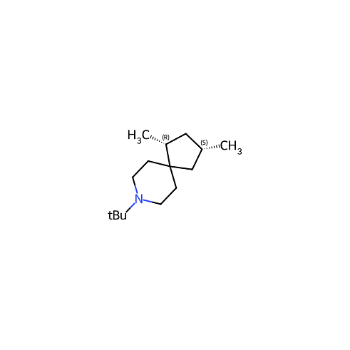 C[C@H]1C[C@@H](C)C2(CCN(C(C)(C)C)CC2)C1